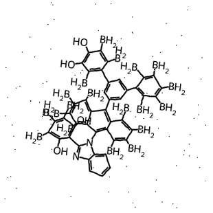 Bc1c(B)c(B)c(-c2cc(-c3c(B)c(B)c(O)c(O)c3B)cc(-c3c4c(B)c(B)c(B)c(B)c4c(-n4c(-c5c(O)c(B)c(B)c(B)c5O)nc5ccccc54)c4c(B)c(B)c(B)c(B)c34)c2)c(B)c1B